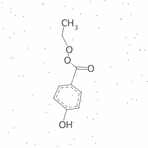 CCOOC(=O)c1ccc(O)cc1